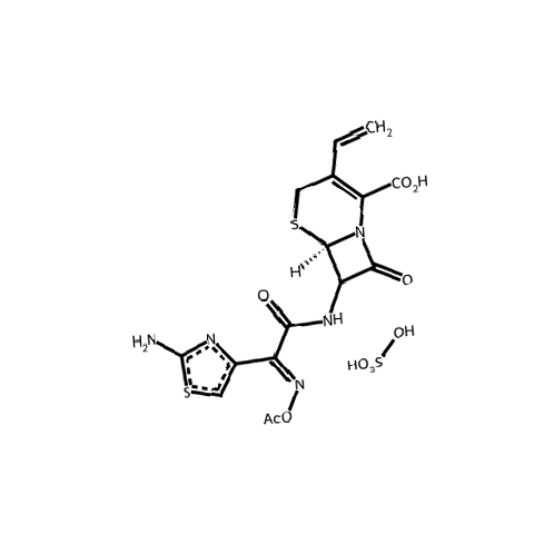 C=CC1=C(C(=O)O)N2C(=O)C(NC(=O)C(=NOC(C)=O)c3csc(N)n3)[C@H]2SC1.O=S(=O)(O)O